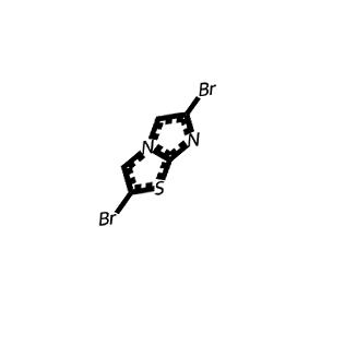 Brc1cn2cc(Br)sc2n1